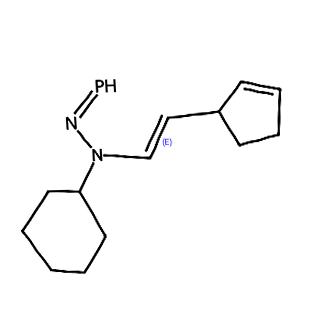 P=NN(/C=C/C1C=CCC1)C1CCCCC1